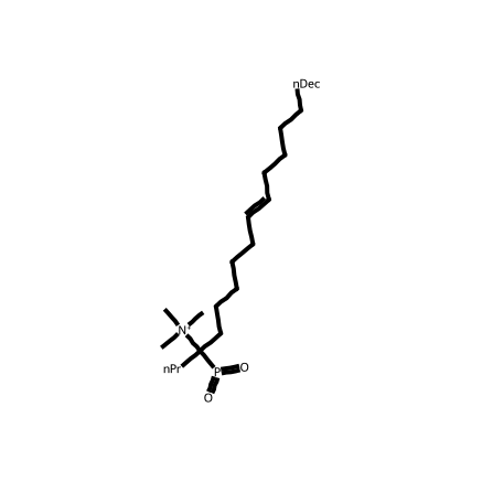 CCCCCCCCCCCCCCC=CCCCCCC(CCC)(P(=O)=O)[N+](C)(C)C